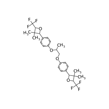 CC(COc1ccc(C2OC(C(F)(F)F)C2(C)C)cc1)Oc1ccc(C2OC(C(F)(F)F)C2(C)C)cc1